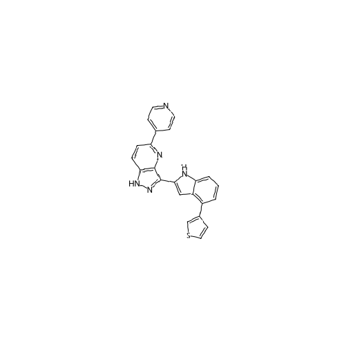 c1cc(-c2ccsc2)c2cc(-c3n[nH]c4ccc(-c5ccncc5)nc34)[nH]c2c1